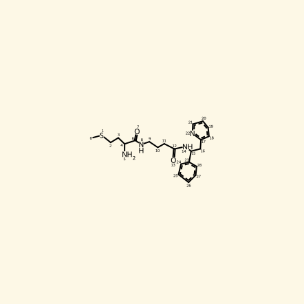 CSCCC(N)C(=O)NCCCC(=O)NC(Cc1ccccn1)c1ccccc1